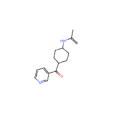 C=C(C)NC1CCC(C(=O)c2cccnc2)CC1